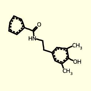 Cc1cc(CCNC(=O)c2ccccc2)cc(C)c1O